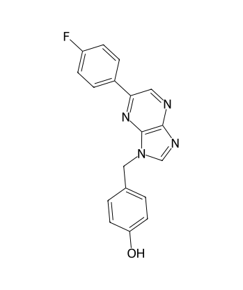 Oc1ccc(Cn2cnc3ncc(-c4ccc(F)cc4)nc32)cc1